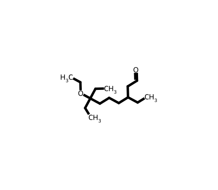 CCOC(CC)(CC)CCCC(CC)CC=O